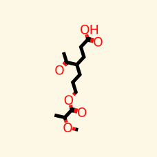 COC(C)C(=O)OCCCC(CCC(=O)O)C(C)=O